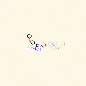 CC(C)(C)C1CC(C2OCC(n3cc(-c4ccc(Oc5ccccc5)cc4)c4c(N)ncnc43)CO2)CCN1C(=O)O